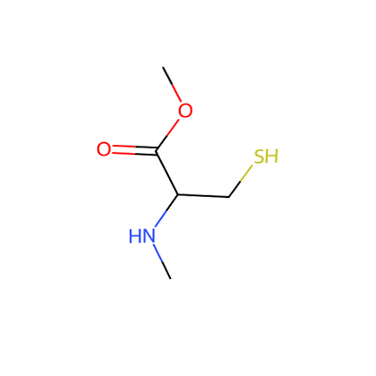 CNC(CS)C(=O)OC